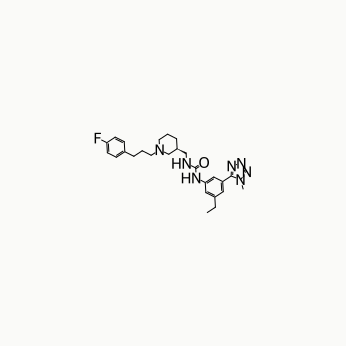 CCc1cc(NC(=O)NC[C@@H]2CCCN(CCCc3ccc(F)cc3)C2)cc(-c2nnnn2C)c1